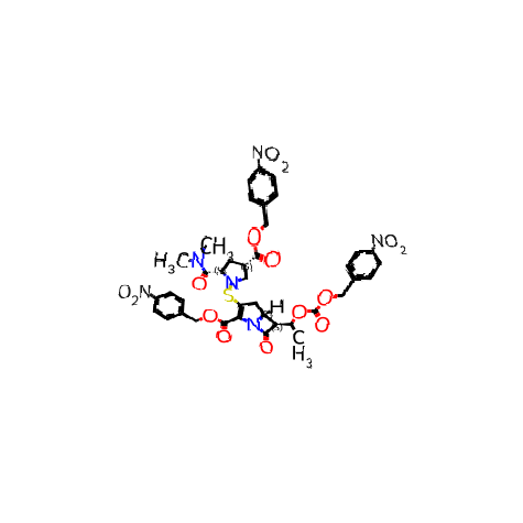 CC(OC(=O)OCc1ccc([N+](=O)[O-])cc1)[C@H]1C(=O)N2C(C(=O)OCc3ccc([N+](=O)[O-])cc3)=C(SN3C[C@@H](C(=O)OCc4ccc([N+](=O)[O-])cc4)C[C@H]3C(=O)N(C)C)C[C@H]12